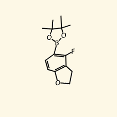 CC1(C)OB(c2ccc3c(c2F)CCO3)OC1(C)C